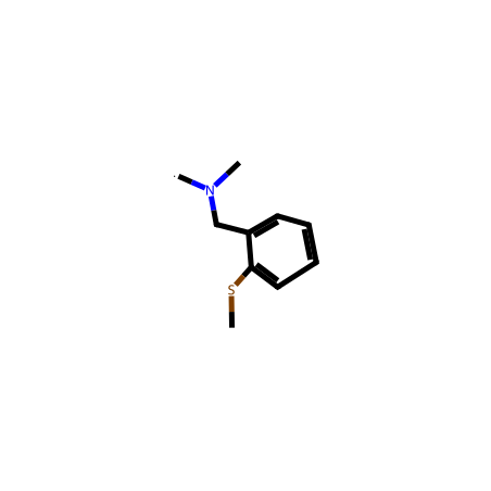 [CH2]N(C)Cc1ccccc1SC